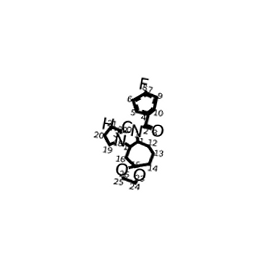 CN(C(=O)c1ccc(F)cc1)C1CCCC2(CC1N1CCCC1)OCCO2